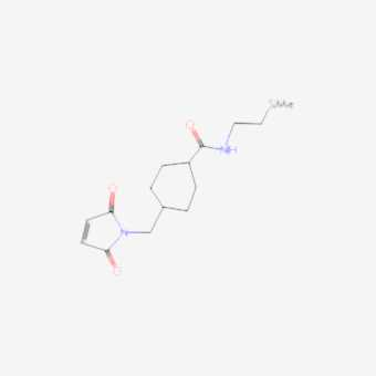 CSCCNC(=O)C1CCC(CN2C(=O)C=CC2=O)CC1